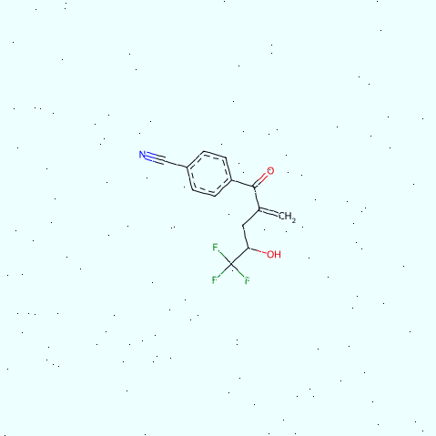 C=C(CC(O)C(F)(F)F)C(=O)c1ccc(C#N)cc1